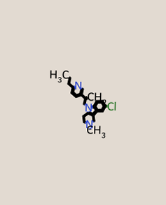 C=C(Cn1c2c(c3cc(Cl)ccc31)CN(C)CC2)c1ccc(CCC)nc1